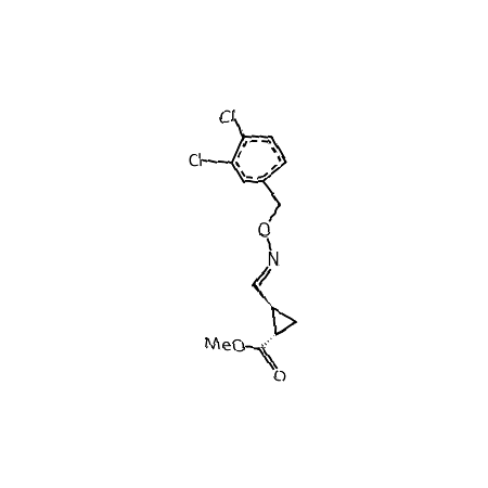 COC(=O)[C@H]1C[C@@H]1/C=N/OCc1ccc(Cl)c(Cl)c1